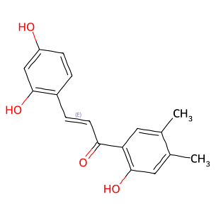 Cc1cc(O)c(C(=O)/C=C/c2ccc(O)cc2O)cc1C